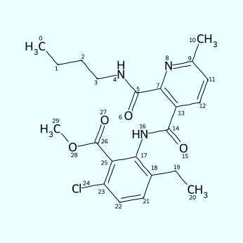 CCCCNC(=O)c1nc(C)ccc1C(=O)Nc1c(CC)ccc(Cl)c1C(=O)OC